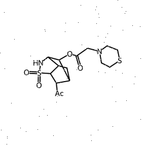 CC(=O)C1C2CC3C(NS(=O)(=O)C31)C2OC(=O)CN1CCSCC1